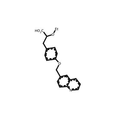 CCOC(Cc1ccc(OCc2ccc3ncccc3c2)cc1)C(=O)O